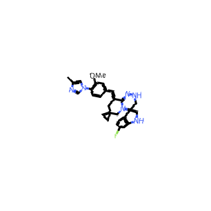 COc1cc(/C=C2\CC3(CC3)CN3C2=NNCC32CNc3cc(F)ccc32)ccc1-n1cnc(C)c1